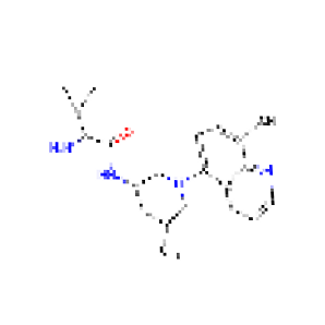 N#Cc1ccc(N2CC(NC(=O)C(N)C3CC3)CC(C(F)(F)F)C2)c2cccnc12